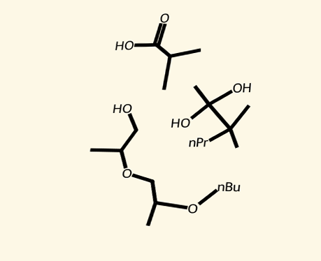 CC(C)C(=O)O.CCCC(C)(C)C(C)(O)O.CCCCOC(C)COC(C)CO